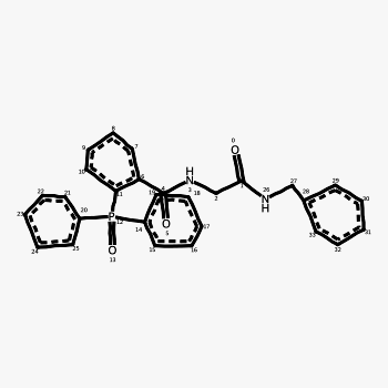 O=C(CNC(=O)c1ccccc1P(=O)(c1ccccc1)c1ccccc1)NCc1ccccc1